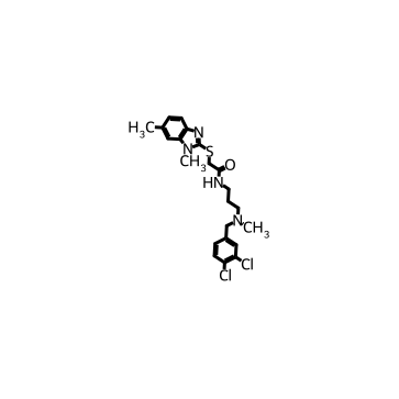 Cc1ccc2nc(SCC(=O)NCCCN(C)Cc3ccc(Cl)c(Cl)c3)n(C)c2c1